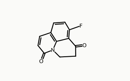 O=C1CCn2c(=O)ccc3ccc(F)c1c32